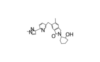 Cc1cc2c(cc1Cc1ccc(-c3ccn(C)n3)nc1)C(=O)N([C@H]1CCCC[C@@H]1O)C2